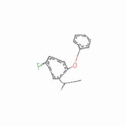 CC(C)c1cc(F)ccc1Oc1ccccc1